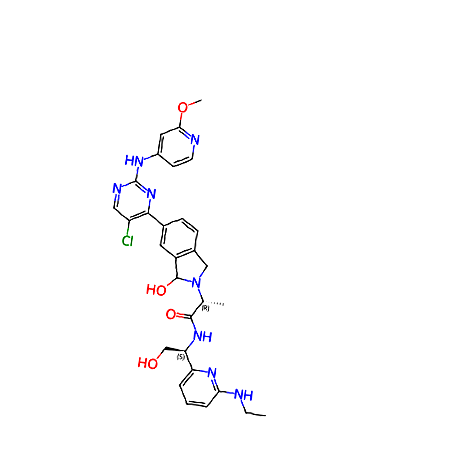 CCNc1cccc([C@@H](CO)NC(=O)[C@@H](C)N2Cc3ccc(-c4nc(Nc5ccnc(OC)c5)ncc4Cl)cc3C2O)n1